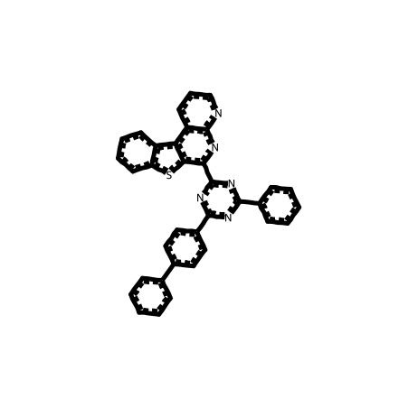 c1ccc(-c2ccc(-c3nc(-c4ccccc4)nc(-c4nc5ncccc5c5c4sc4ccccc45)n3)cc2)cc1